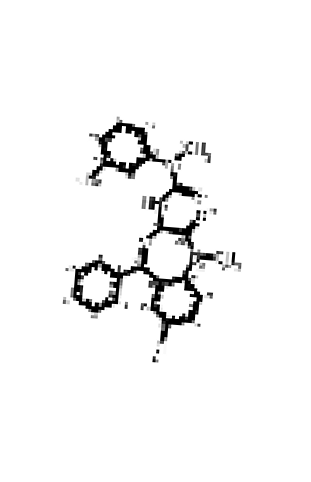 CN(C(=S)NC1N=C(c2ccccc2)c2cc(Cl)ccc2N(C)C1=O)c1cccc(Cl)c1